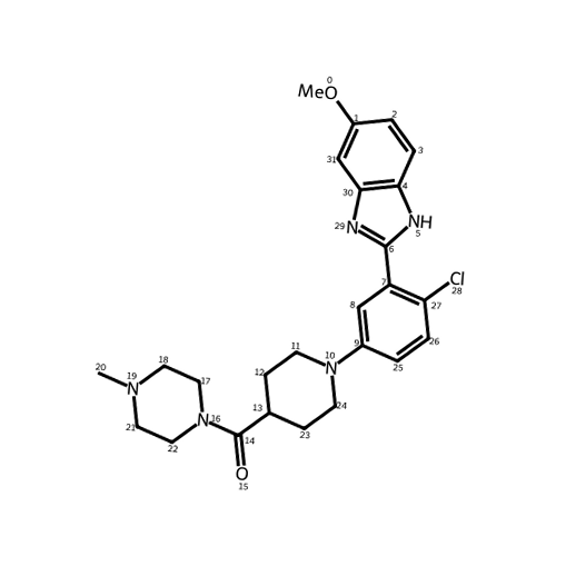 COc1ccc2[nH]c(-c3cc(N4CCC(C(=O)N5CCN(C)CC5)CC4)ccc3Cl)nc2c1